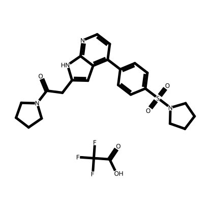 O=C(Cc1cc2c(-c3ccc(S(=O)(=O)N4CCCC4)cc3)ccnc2[nH]1)N1CCCC1.O=C(O)C(F)(F)F